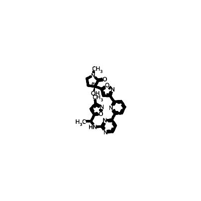 Cc1cc(C(C)Nc2nccc(-c3cccc(-c4cc([C@]5(O)CCN(C)C5=O)on4)n3)n2)on1